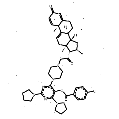 C[C@@H]1C[C@H]2[C@@H]3CCC4=CC(=O)C=C[C@]4(C)C3=CC[C@]2(C)[C@H]1C(=O)CN1CCN(c2nc(N3CCCC3)nc(N3CCCC3)c2OC(=O)c2ccc(Cl)cc2)CC1